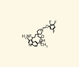 COc1ccc2ncc(CN)c(C(F)CCC3(CC(=O)O)CCN(CCOc4cc(F)cc(F)c4F)CC3)c2c1